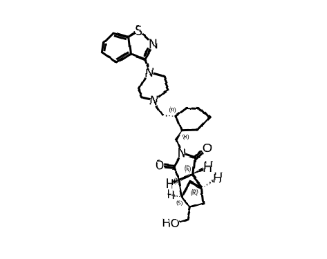 O=C1[C@@H]2[C@H]3CC(CO)[C@H](C3)[C@@H]2C(=O)N1C[C@@H]1CCCC[C@H]1CN1CCN(c2nsc3ccccc23)CC1